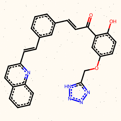 O=C(C=Cc1cccc(C=Cc2ccc3ccccc3n2)c1)c1cc(OCc2nnn[nH]2)ccc1O